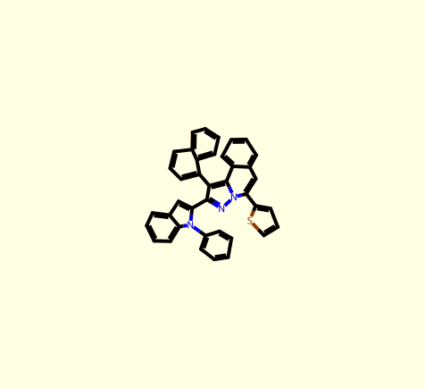 c1ccc(-n2c(-c3nn4c(-c5cccs5)cc5ccccc5c4c3-c3cccc4ccccc34)cc3ccccc32)cc1